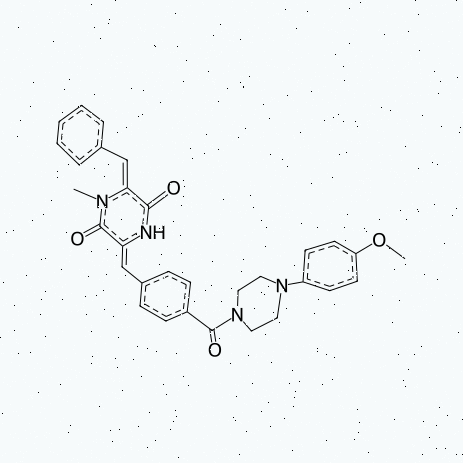 COc1ccc(N2CCN(C(=O)c3ccc(C=c4[nH]c(=O)c(=Cc5ccccc5)n(C)c4=O)cc3)CC2)cc1